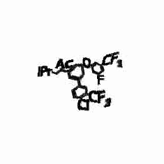 CC(=O)C(CC(C)C)c1cc(Oc2cc(F)cc(C(F)(F)F)c2)cc(-c2ccc(Cl)c(C(F)(F)F)c2)c1